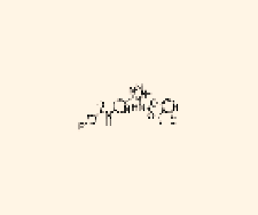 C[C@@H](OC(=O)Nc1c(-c2ccc(NC(=O)C3CC(F)C3)cn2)nnn1C)c1cccnc1Cl